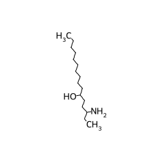 CCCCCCCCCCC(O)CCC(N)CC